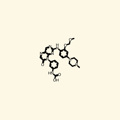 COCOc1cc(N2CCN(C)CC2)ccc1Nc1ncc2ncc(=O)n(-c3cccc(NC(=O)O)c3)c2n1